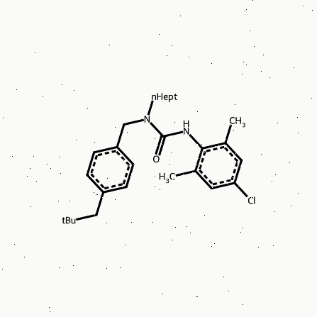 CCCCCCCN(Cc1ccc(CC(C)(C)C)cc1)C(=O)Nc1c(C)cc(Cl)cc1C